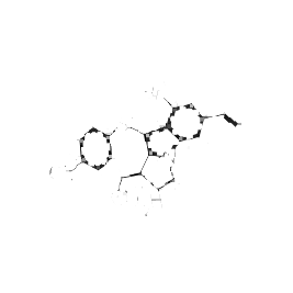 C=Cc1cc(Br)c2c(Sc3ccc(Cl)cc3)c3n(c2c1)CCC3CC(=O)O